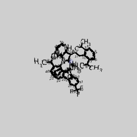 CC(C)c1cccc(C(C)C)c1CCC1/C(=N/n2c3ccccc3c3cc(C(F)(F)F)ccc32)N(c2c(C(C)C)cccc2C(C)C)c2nccnc21